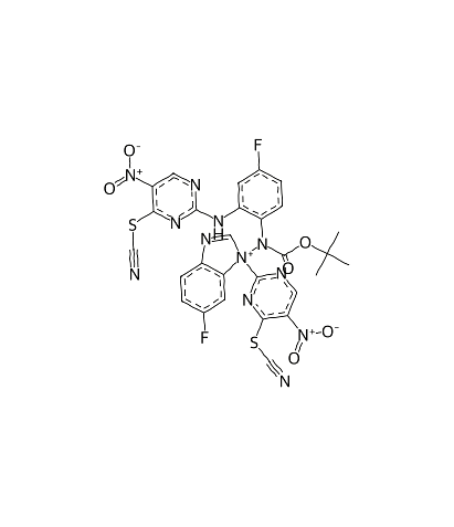 CC(C)(C)OC(=O)N(c1ccc(F)cc1Nc1ncc([N+](=O)[O-])c(SC#N)n1)[N+]1(c2ncc([N+](=O)[O-])c(SC#N)n2)C=Nc2ccc(F)cc21